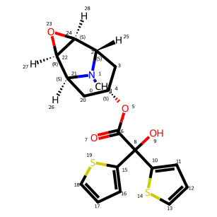 CN1[C@H]2C[C@H](OC(=O)C(O)(c3cccs3)c3cccs3)C[C@H]1[C@H]1O[C@H]12